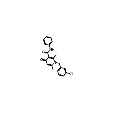 Cc1cc(=O)c(C(=O)Nc2ccccc2)c(C)n1Cc1cccc(Cl)c1